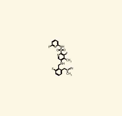 Cc1c(NCc2c(F)cccc2CN(C)C(C)C)cnc(S(=O)(=O)Nc2cccc(F)n2)c1F